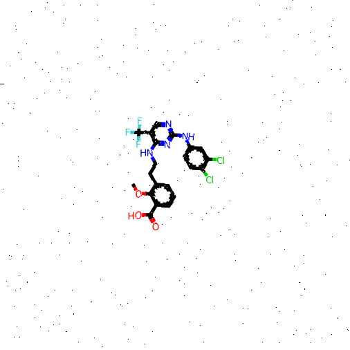 COc1c(CCNc2nc(Nc3ccc(Cl)c(Cl)c3)ncc2C(F)(F)F)cccc1C(=O)O